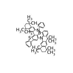 CC1(C)CCC(C)(C)c2cc3c(cc21)-c1c2c(cc4c1sc1ccccc14)N1c4cc5c(cc4C(C)(C)c4cccc(c41)B2N3c1ccccc1)C(C)(C)CCC5(C)C